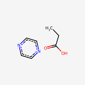 CCC(=O)O.c1cnccn1